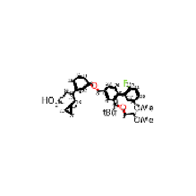 COCCO[C@H](c1cc(COc2cccc([C@H](CC(=O)O)CC3CC3)c2)ccc1-c1cc(OC)ccc1F)C(C)(C)C